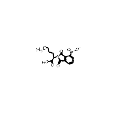 CCCCC(C(=O)O)N1C(=O)c2cccc([N+](=O)[O-])c2C1=O